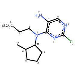 CCOC(=O)CCN(c1nc(Cl)ncc1N)C1CCCC1C